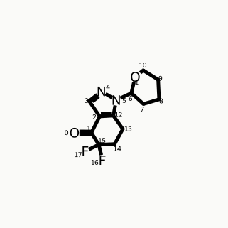 O=C1c2cnn(C3CCCCO3)c2CCC1(F)F